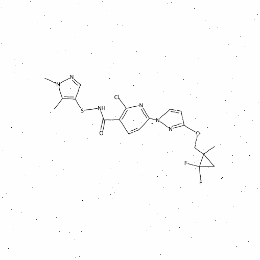 Cc1c(SNC(=O)c2ccc(-n3ccc(OCC4(C)CC4(F)F)n3)nc2Cl)cnn1C